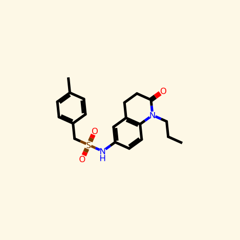 CCCN1C(=O)CCc2cc(NS(=O)(=O)Cc3ccc(C)cc3)ccc21